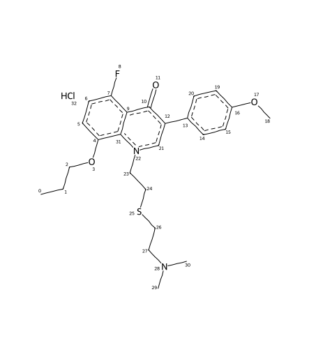 CCCOc1ccc(F)c2c(=O)c(-c3ccc(OC)cc3)cn(CCSCCN(C)C)c12.Cl